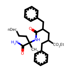 CCCCCCCCCCCCC(C)(NC(=O)C(Cc1ccccc1)CC(Cc1ccccc1)C(=O)OCC)C(N)=O